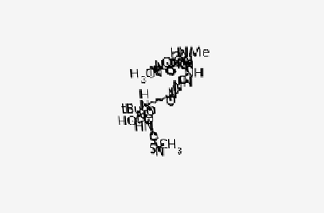 CNC(=O)c1nnc(Nc2ccc(N3CCN(C(=O)CCCCCC(=O)N[C@H](C(=O)N4C[C@H](O)C[C@H]4C(=O)NCc4ccc(-c5scnc5C)cc4)C(C)(C)C)CC3)cn2)cc1Nc1cccc(-c2ncn(C)n2)c1OC